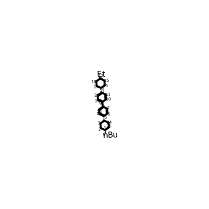 CCCC[C@H]1CC[C@H](c2ccc(-c3ccc([C@H]4CC[C@H](CC)CC4)cc3)cc2)CC1